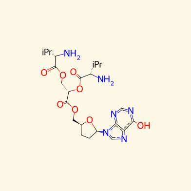 CC(C)[C@H](N)C(=O)OC[C@H](OC(=O)[C@@H](N)C(C)C)C(=O)OC[C@@H]1CC[C@H](n2cnc3c(O)ncnc32)O1